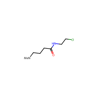 CNCCCC(=O)NCCCl